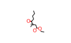 CCCCC(=O)[C@H](C)CC(=O)OCC